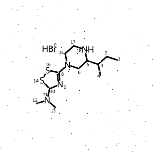 Br.CCC(C)C1CN(C2=NC(N(C)C)SS2)CCN1